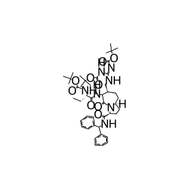 CC[C@H](NC(=O)OC(C)(C)C)C(=O)N[C@@H]1C(=O)N2[C@@H](CC[C@@H]1CN/C(=N/C(=O)OC(C)(C)C)NC(=O)OC(C)(C)C)CC[C@H]2C(=O)NC(c1ccccc1)c1ccccc1